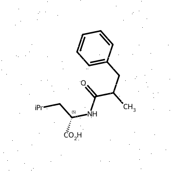 CC(C)C[C@H](NC(=O)C(C)Cc1ccccc1)C(=O)O